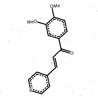 COc1ccc(C(=O)/C=C/c2ccncc2)cc1OC